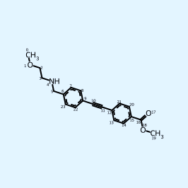 COCCNCc1ccc(C#Cc2ccc(C(=O)OC)cc2)cc1